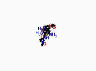 C=CC(=O)N1CCC[C@@H](NC(=O)c2sc3c(N)ccc4c3c2C(N)C(=O)C4(N)c2ccc(O[C@H]3CCOC3)cc2C)C1